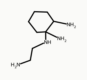 NCCNC1(N)CCCCC1N